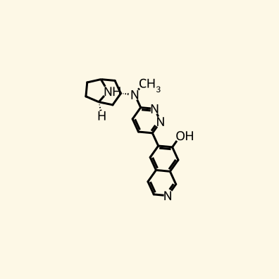 CN(c1ccc(-c2cc3ccncc3cc2O)nn1)[C@H]1CC2CC[C@H](C1)N2